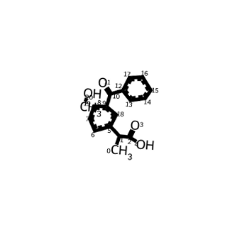 CC(C(=O)O)c1cccc(C(=O)c2ccccc2)c1.CO